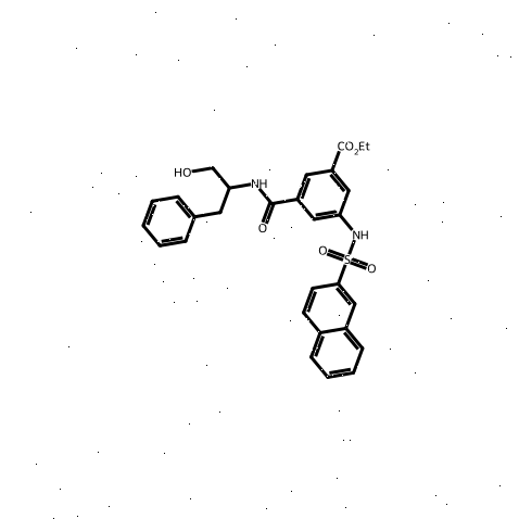 CCOC(=O)c1cc(NS(=O)(=O)c2ccc3ccccc3c2)cc(C(=O)NC(CO)Cc2ccccc2)c1